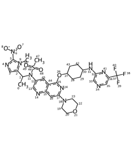 CC(c1cnc([N+](=O)[O-])n1C)N(c1cnc2cc(N3CCOCC3)nc(OC3CCC(Nc4cncc(C(F)(F)F)n4)CC3)c2c1)S(C)(=O)=O